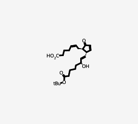 CC(C)(C)OC(=O)CCCC[C@@H](O)/C=C/[C@H]1C=CC(=O)[C@@H]1C/C=C\CCCC(=O)O